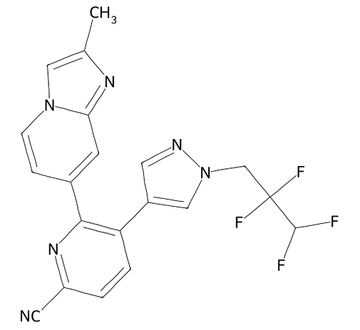 Cc1cn2ccc(-c3nc(C#N)ccc3-c3cnn(CC(F)(F)C(F)F)c3)cc2n1